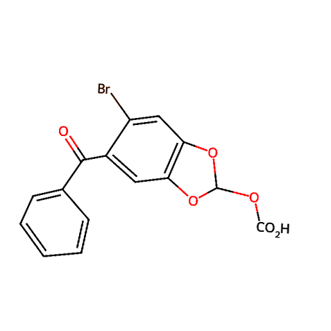 O=C(O)OC1Oc2cc(Br)c(C(=O)c3ccccc3)cc2O1